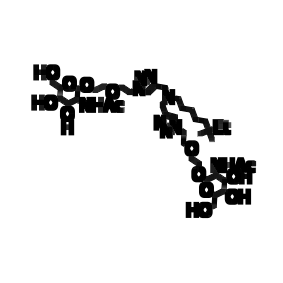 CCC(C)(C)CCCCCN(Cc1cn(CCOCCOC2OC(CO)C(O)C(O)C2NC(C)=O)nn1)Cc1cn(CCOCCOC2OC(CO)C(O)C(O)C2NC(C)=O)nn1